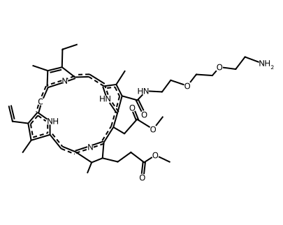 C=Cc1c(C)c2cc3nc(c(CC(=O)OC)c4[nH]c(cc5nc(cc1[nH]2)C(C)=C5CC)c(C)c4C(=O)NCCOCCOCCN)C(CCC(=O)OC)C3C